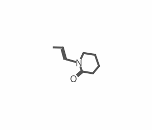 CC=CN1CCCCC1=O